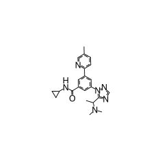 Cc1ccc(-c2cc(C(=O)NC3CC3)cc(-n3ncnc3C(C)N(C)C)c2)nc1